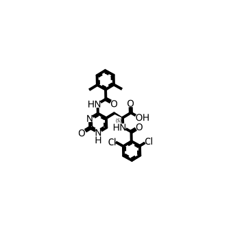 Cc1cccc(C)c1C(=O)Nc1nc(=O)[nH]cc1C[C@H](NC(=O)c1c(Cl)cccc1Cl)C(=O)O